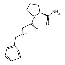 NC(=O)[C@@H]1CCCN1C(=O)CNCc1ccccc1